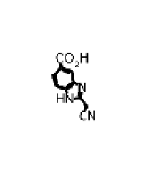 N#CCc1nc2cc(C(=O)O)ccc2[nH]1